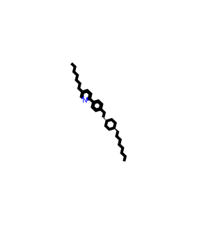 CCCCCCCC[C@H]1CC[C@H](CCc2ccc(-c3ccc(CCCCCCC)cn3)cc2)CC1